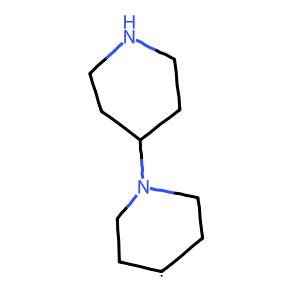 [CH]1CCN(C2CCNCC2)CC1